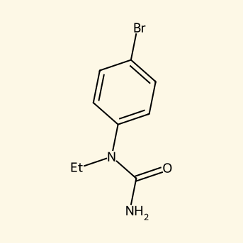 CCN(C(N)=O)c1ccc(Br)cc1